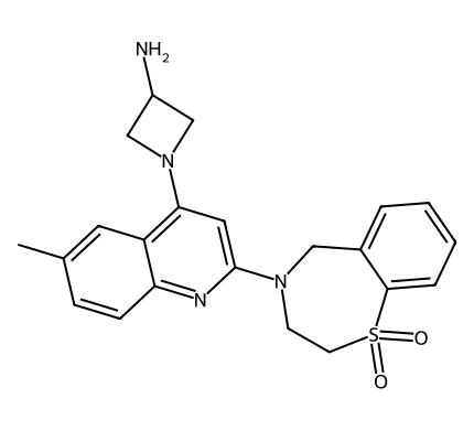 Cc1ccc2nc(N3CCS(=O)(=O)c4ccccc4C3)cc(N3CC(N)C3)c2c1